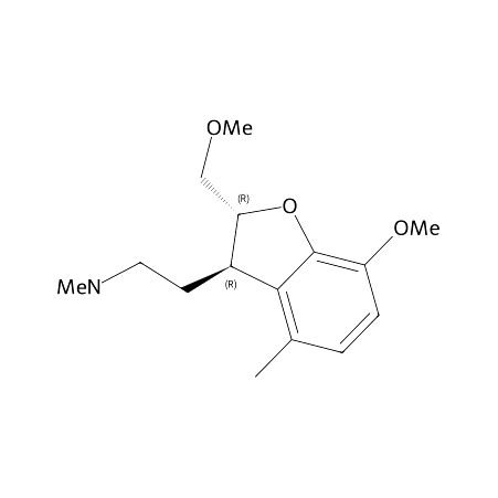 CNCC[C@@H]1c2c(C)ccc(OC)c2O[C@H]1COC